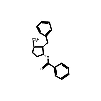 O=C(O[C@@H]1CCN(C(=O)O)[C@H]1Cc1ccccc1)c1ccccc1